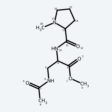 COC(=O)C(CNC(C)=O)NC(=O)C1CCCN1C